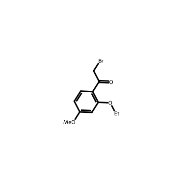 CCOc1cc(OC)ccc1C(=O)CBr